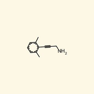 Cc1cccc(C)c1C#CCN